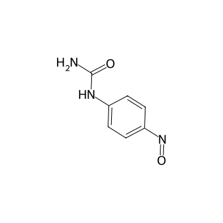 NC(=O)Nc1ccc(N=O)cc1